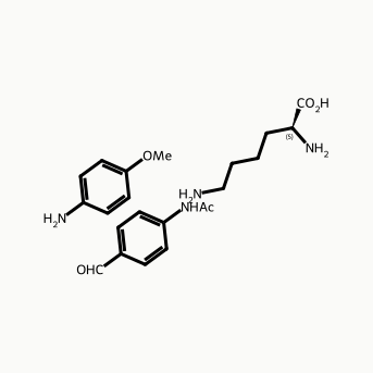 CC(=O)Nc1ccc(C=O)cc1.COc1ccc(N)cc1.NCCCC[C@H](N)C(=O)O